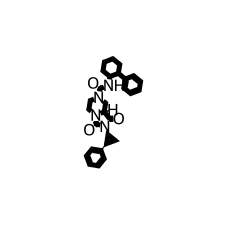 O=C(NC1CCCCC1c1ccccc1)N1CCN2C(=O)N([C@H]3C[C@@H]3c3ccccc3)C(=O)[C@@H]2C1